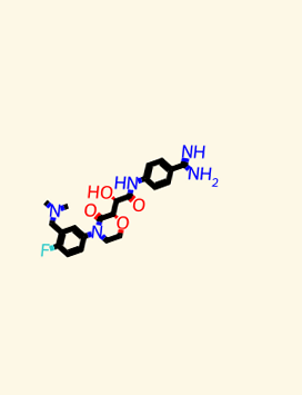 CN(C)Cc1cc(N2CCO[C@H]([C@@H](O)C(=O)Nc3ccc(C(=N)N)cc3)C2=O)ccc1F